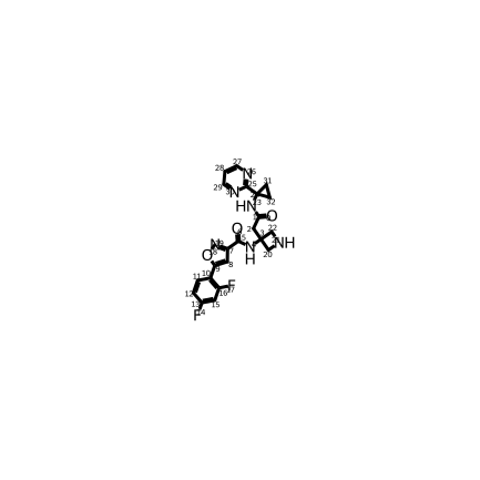 O=C(CC1(NC(=O)c2cc(-c3ccc(F)cc3F)on2)CNC1)NC1(c2ncccn2)CC1